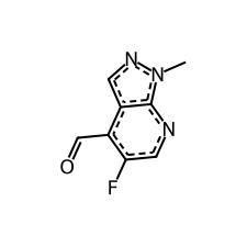 Cn1ncc2c(C=O)c(F)cnc21